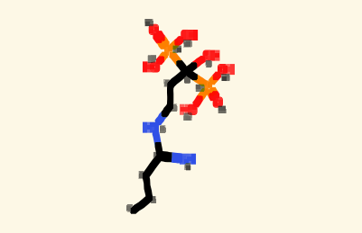 CCCC(=N)NCCC(O)(P(=O)(O)O)P(=O)(O)O